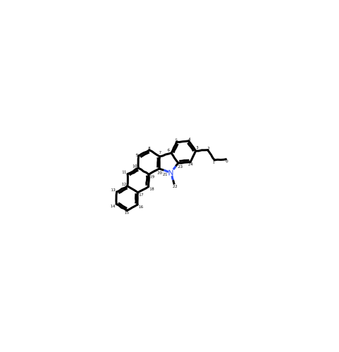 CCCc1ccc2c3ccc4cc5ccccc5cc4c3n(C)c2c1